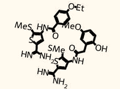 CCOc1ccc(C(=O)Nc2cc(C(=N)N)sc2SC)cc1.COc1ccc(O)c(CC(=O)Nc2cc(C(=N)N)sc2SC)c1